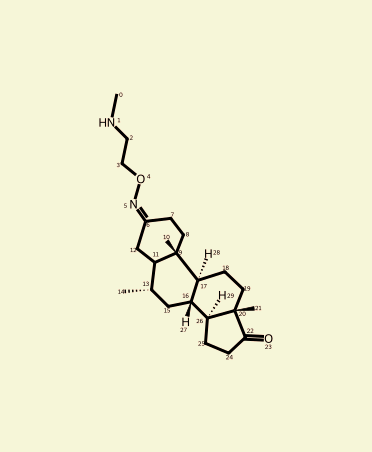 CNCCON=C1CC[C@@]2(C)C(C1)[C@@H](C)C[C@@H]1[C@@H]2CC[C@]2(C)C(=O)CC[C@@H]12